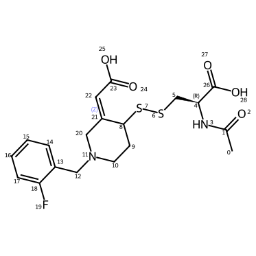 CC(=O)N[C@@H](CSSC1CCN(Cc2ccccc2F)C/C1=C/C(=O)O)C(=O)O